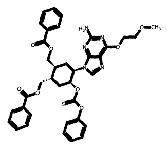 COCCOc1nc(N)nc2c1ncn2[C@@H]1C[C@H](COC(=O)c2ccccc2)[C@@H](COC(=O)c2ccccc2)C[C@@H]1OC(=S)Oc1ccccc1